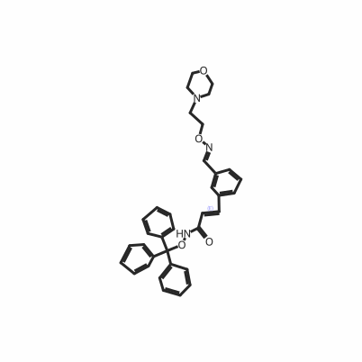 O=C(/C=C/c1cccc(C=NOCCN2CCOCC2)c1)NOC(c1ccccc1)(c1ccccc1)c1ccccc1